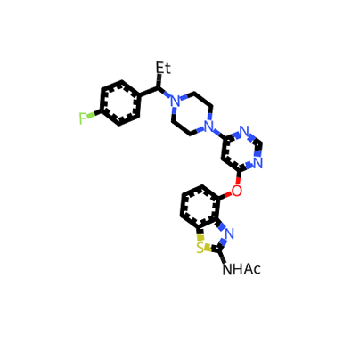 CCC(c1ccc(F)cc1)N1CCN(c2cc(Oc3cccc4sc(NC(C)=O)nc34)ncn2)CC1